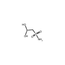 NS(=O)(=O)CB(O)O